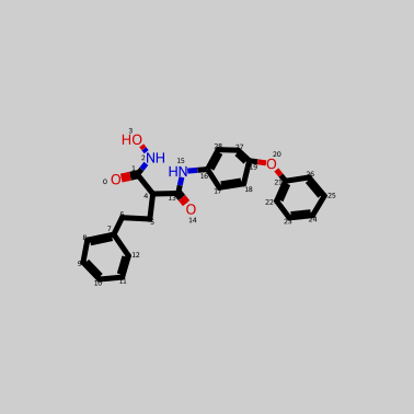 O=C(NO)C(CCc1ccccc1)C(=O)Nc1ccc(Oc2ccccc2)cc1